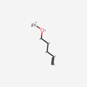 C=CCCCOC(C)C